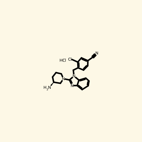 Cl.N#Cc1ccc(Cn2c(N3CCC[C@H](N)C3)nc3ccccc32)c(Cl)c1